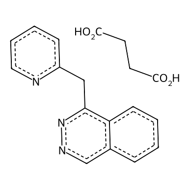 O=C(O)CCC(=O)O.c1ccc(Cc2nncc3ccccc23)nc1